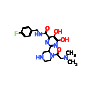 CN(C)CC(=O)N1CCNCC1c1nc(O)c(O)c(C(=O)NCc2ccc(F)cc2)n1